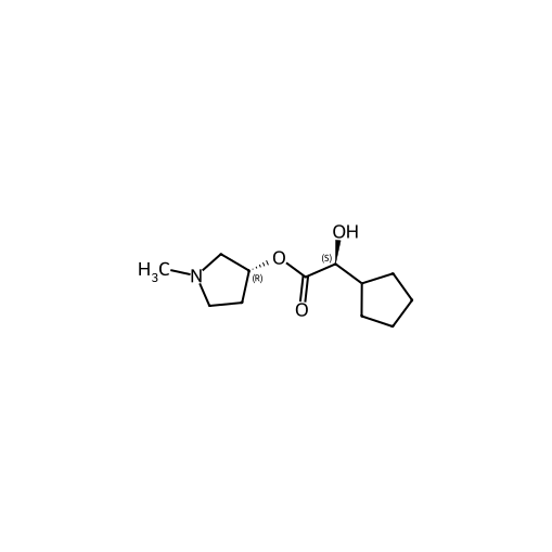 CN1CC[C@@H](OC(=O)[C@@H](O)C2CCCC2)C1